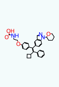 O=C(O)NCCOc1ccc(C(=C(c2ccccc2)C2CCC2)c2ccc3c(cnn3C3CCCCO3)c2)cc1